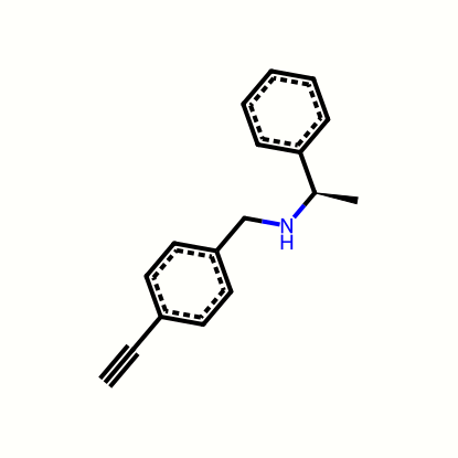 C#Cc1ccc(CN[C@H](C)c2ccccc2)cc1